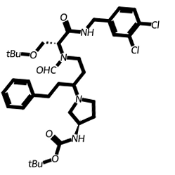 CC(C)(C)OC[C@H](C(=O)NCc1ccc(Cl)c(Cl)c1)N(C=O)CCC(CCc1ccccc1)N1CC[C@@H](NC(=O)OC(C)(C)C)C1